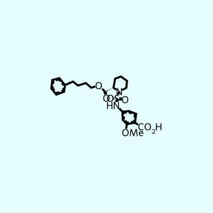 COc1cc(NS(=O)(=O)N2CCCC[C@H]2C(=O)OCCCCc2ccccc2)ccc1C(=O)O